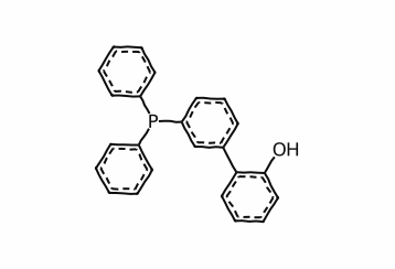 Oc1ccccc1-c1cccc(P(c2ccccc2)c2ccccc2)c1